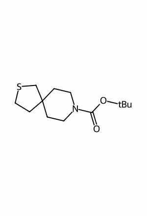 CC(C)(C)OC(=O)N1CCC2(CCSC2)CC1